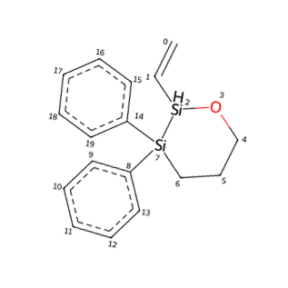 C=C[SiH]1OCCC[Si]1(c1ccccc1)c1ccccc1